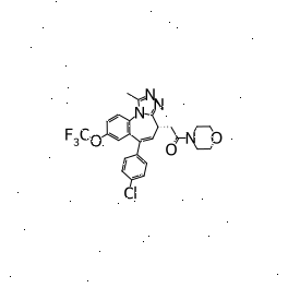 Cc1nnc2n1-c1ccc(OC(F)(F)F)cc1C(c1ccc(Cl)cc1)=C[C@H]2CC(=O)N1CCOCC1